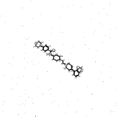 O=C(NC1CCC(CCN2CCC(c3cccc4c3OCO4)CC2)CC1)c1ccc(N2CCOCC2)cc1